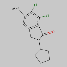 CSc1cc2c(c(Cl)c1Cl)C(=O)C(C1CCCC1)C2